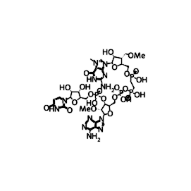 COC[C@H]1[C@@H](O)[C@H](n2c[n+](C)c3c(=O)[nH]c(N)nc32)O[C@@H]1COP(=O)(O)CCP(=O)(O)OP(=O)(O)OC[C@H]1O[C@@H](n2cnc3c(N)ncnc32)[C@H](OC)[C@@H]1OP(=O)(O)OC[C@H]1O[C@@H](n2ccc(=O)[nH]c2=O)[C@H](O)[C@@H]1O